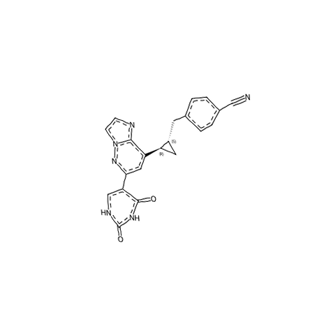 N#Cc1ccc(C[C@@H]2C[C@H]2c2cc(-c3c[nH]c(=O)[nH]c3=O)nn3ccnc23)cc1